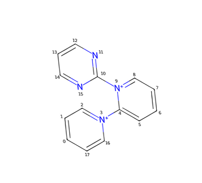 c1cc[n+](-c2cccc[n+]2-c2ncccn2)cc1